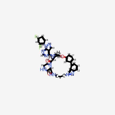 O=C1NCCCn2cc3c(cccc3n2)-c2cccc(c2)O[C@H]2C[C@@H](C(=O)N3CCNC[C@@H]13)N(c1ncnc3c1cnn3-c1ccc(F)cc1F)C2